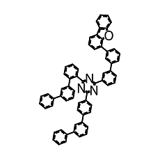 c1ccc(-c2cccc(-c3ccc(-c4nc(-c5cccc(-c6cccc(-c7cccc8c7oc7ccccc78)c6)c5)nc(-c5ccccc5-c5cccc(-c6ccccc6)c5)n4)cc3)c2)cc1